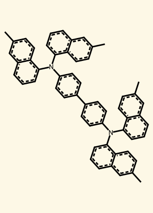 Cc1ccc2c(N(c3ccc(-c4ccc(N(c5cccc6cc(C)ccc56)c5cccc6cc(C)ccc56)cc4)cc3)c3cccc4cc(C)ccc34)cccc2c1